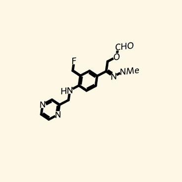 CN/N=C(\COC=O)c1ccc(NCc2cnccn2)c(CF)c1